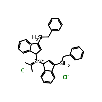 C[C](C)=[Zr+2]([CH]1C=C([SiH2]Cc2ccccc2)c2ccccc21)[CH]1C=C([SiH2]Cc2ccccc2)c2ccccc21.[Cl-].[Cl-]